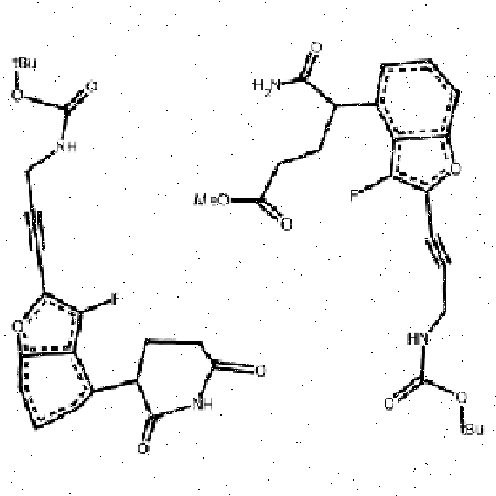 CC(C)(C)OC(=O)NCC#Cc1oc2cccc(C3CCC(=O)NC3=O)c2c1F.COC(=O)CCC(C(N)=O)c1cccc2oc(C#CCNC(=O)OC(C)(C)C)c(F)c12